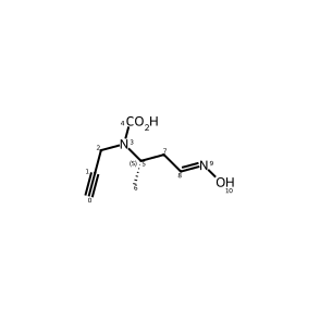 C#CCN(C(=O)O)[C@@H](C)CC=NO